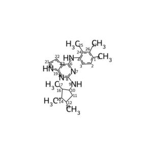 Cc1ccc(Nc2nc(NC3CC(C)C(C)C3C)nc3[nH]ccc23)c(C)c1C